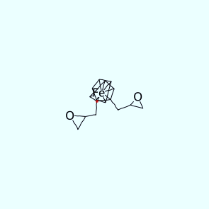 C1OC1C[C]12[CH]3[CH]4[CH]5[C]1(CC1CO1)[Fe]43521678[CH]2[CH]1[CH]6[CH]7[CH]28